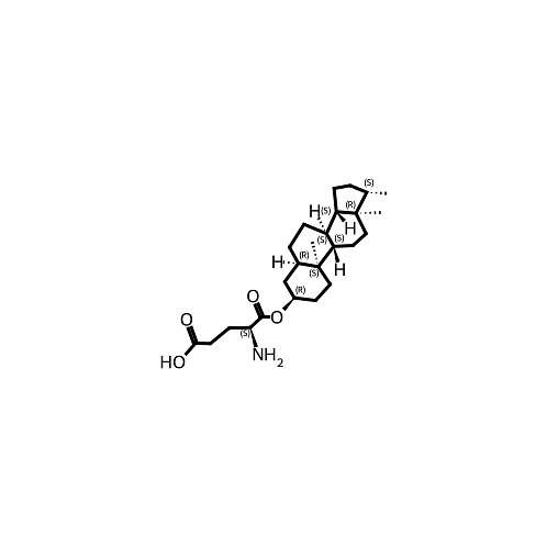 C[C@H]1CC[C@H]2[C@@H]3CC[C@@H]4C[C@H](OC(=O)[C@@H](N)CCC(=O)O)CC[C@]4(C)[C@H]3CC[C@]12C